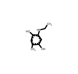 CCNc1cc(O)c(C)cc1O